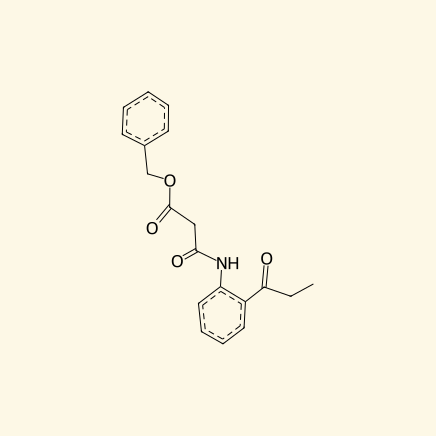 CCC(=O)c1ccccc1NC(=O)CC(=O)OCc1ccccc1